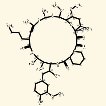 COC1C[C@H](C)C/C(C)=C\C(CCCN)C(=O)C[C@H](O)C(C)C(C(C)C[C@@H]2CCC(O)[C@H](OC)C2)OC(=O)C2CCCCN2C(=O)C(=O)[C@]2(O)O[C@@H]1[C@@H](OC)C[C@H]2C